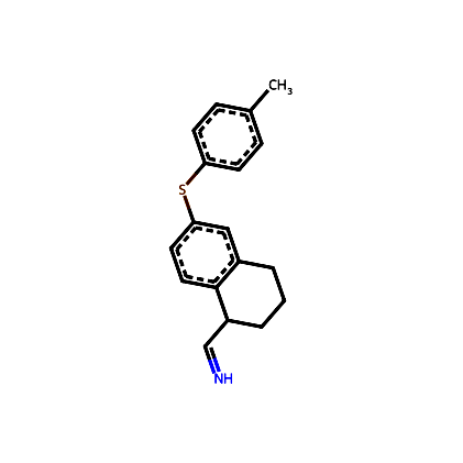 Cc1ccc(Sc2ccc3c(c2)CCCC3C=N)cc1